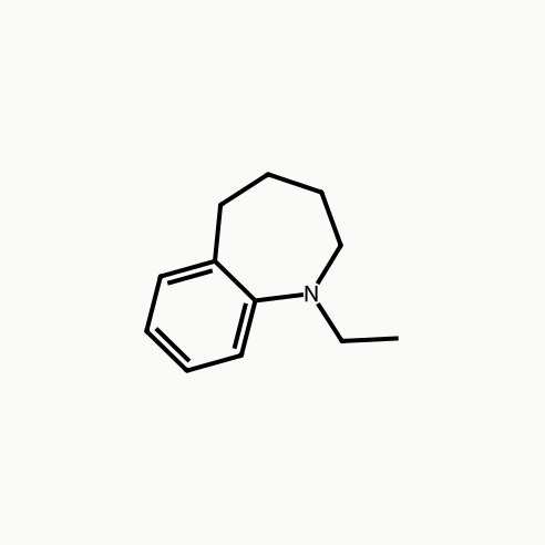 CCN1CCCCc2ccccc21